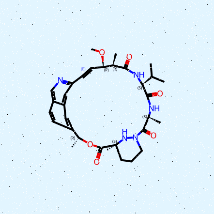 CO[C@@H]1/C=C/c2cc3cc(ccc3cn2)[C@@H](C)OC(=O)[C@]2(C)CCCN(N2)C(=O)[C@H](C)NC(=O)[C@H](C(C)C)NC(=O)[C@@H]1C